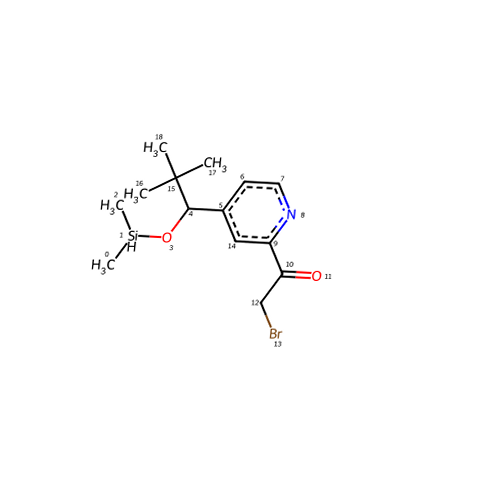 C[SiH](C)OC(c1ccnc(C(=O)CBr)c1)C(C)(C)C